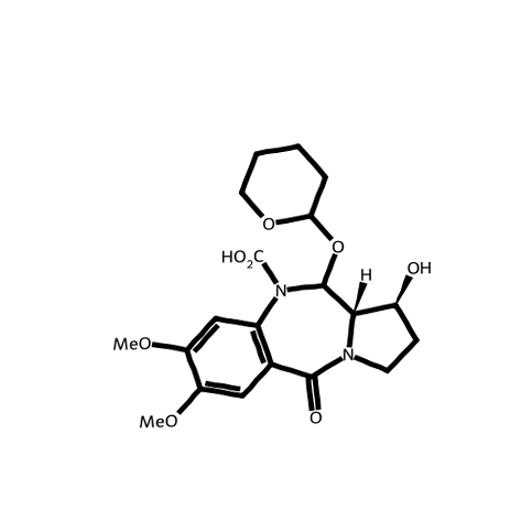 COc1cc2c(cc1OC)N(C(=O)O)C(OC1CCCCO1)[C@@H]1[C@@H](O)CCN1C2=O